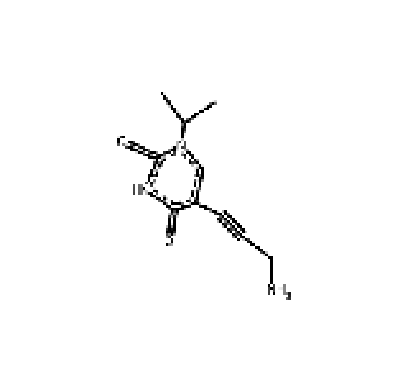 CC(C)n1cc(C#CCN)c(=O)[nH]c1=O